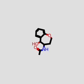 CC(=O)NC1CCOc2ccccc2C1O